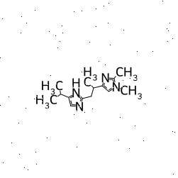 Cc1nc(C(C)Cc2ncc(C(C)C)[nH]2)cn1C